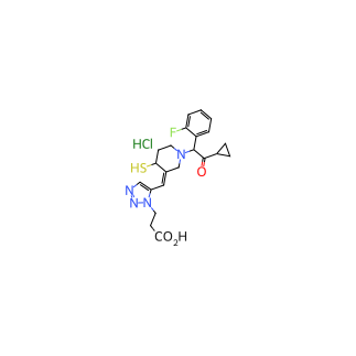 Cl.O=C(O)CCn1nncc1C=C1CN(C(C(=O)C2CC2)c2ccccc2F)CCC1S